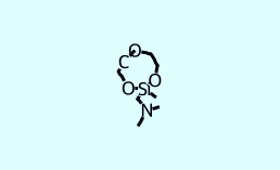 CN(C)C[Si]1(C)OCCOCCO1